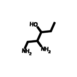 CCC(O)C(N)CN